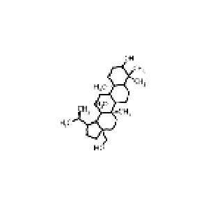 C=C(C)C1CCC2(CO)CC[C@]3(C)C(CCC4[C@@]5(C)CCC(O)C(C)(C)C5CC[C@]43C)C12